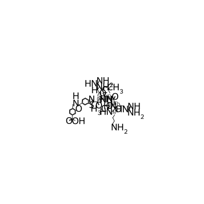 CC(=O)N[C@@H](CCCCN)C(=O)N[C@@H](CCCNC(=N)N)C(=O)N[C@@H](CC(C)C)C(=O)N[C@@H](CCCNC(=N)N)C(=O)c1nc2ccc(C(=O)NCc3ccc(C(=O)O)cc3)cc2s1